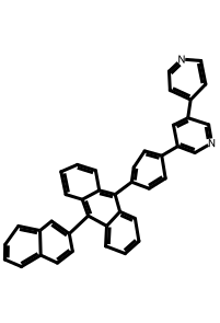 c1ccc2cc(-c3c4ccccc4c(-c4ccc(-c5cncc(-c6ccncc6)c5)cc4)c4ccccc34)ccc2c1